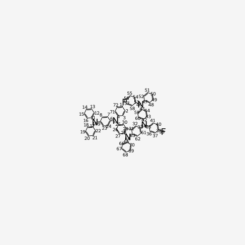 Fc1ccc(N(c2ccc(N(c3ccccc3)c3ccccc3)cc2)c2ccc3c(c2)c2cc(N(c4ccc(F)cc4)c4ccc(N(c5ccccc5)c5ccccc5)cc4)ccc2n3-c2ccccc2)cc1